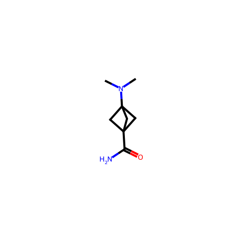 CN(C)C12CC(C(N)=O)(C1)C2